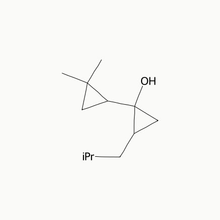 CC(C)CC1CC1(O)C1CC1(C)C